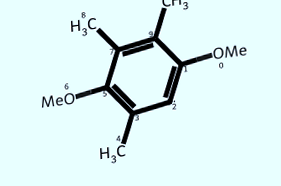 COc1[c]c(C)c(OC)c(C)c1C